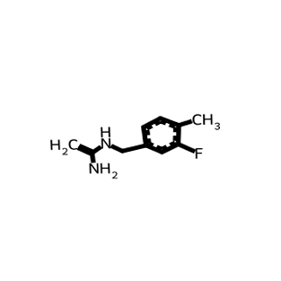 C=C(N)NCc1ccc(C)c(F)c1